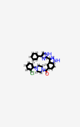 O=C(c1ccc2[nH]nc(-c3nc(-c4ccccc4)c[nH]3)c2c1)N1CCN(c2ccccc2Cl)CC1